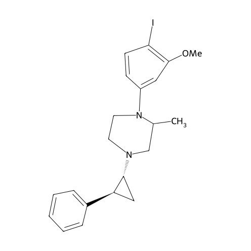 COc1cc(N2CCN([C@@H]3C[C@H]3c3ccccc3)CC2C)ccc1I